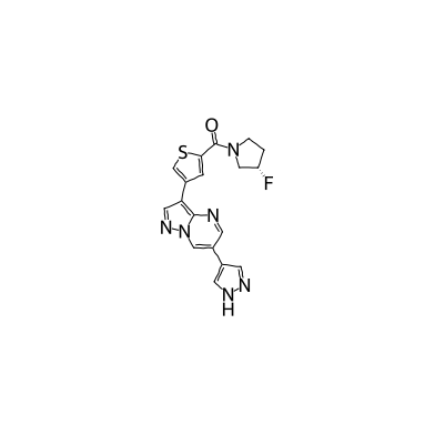 O=C(c1cc(-c2cnn3cc(-c4cn[nH]c4)cnc23)cs1)N1CC[C@H](F)C1